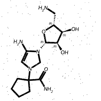 NC[C@H]1O[C@@H](N2CN(C3(C(N)=O)CCCC3)C=C2N)[C@H](O)[C@@H]1O